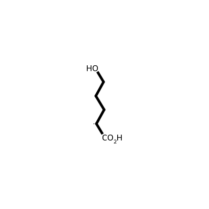 O=C(O)[CH]CCCO